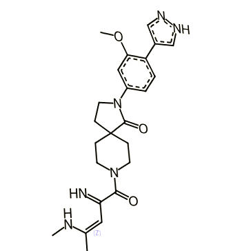 CN/C(C)=C\C(=N)C(=O)N1CCC2(CC1)CCN(c1ccc(-c3cn[nH]c3)c(OC)c1)C2=O